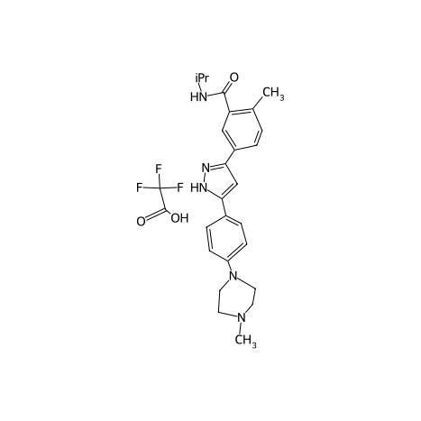 Cc1ccc(-c2cc(-c3ccc(N4CCN(C)CC4)cc3)[nH]n2)cc1C(=O)NC(C)C.O=C(O)C(F)(F)F